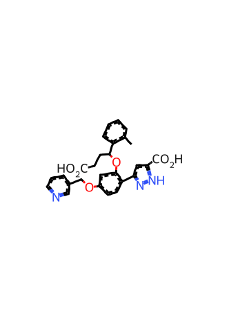 Cc1ccccc1C(CCC(=O)O)Oc1cc(OCc2cccnc2)ccc1-c1cc(C(=O)O)[nH]n1